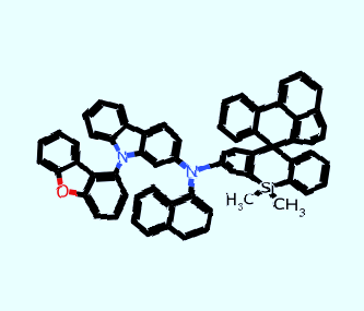 C[Si]1(C)c2ccccc2C2(c3ccccc3-c3cccc4cccc2c34)c2ccc(N(c3ccc4c5ccccc5n(-c5cccc6oc7ccccc7c56)c4c3)c3cccc4ccccc34)cc21